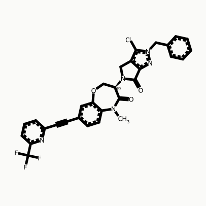 CN1C(=O)[C@H](N2Cc3c(nn(Cc4ccccc4)c3Cl)C2=O)COc2cc(C#Cc3cccc(C(F)(F)F)n3)ccc21